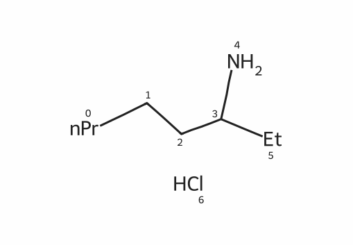 CCCCCC(N)CC.Cl